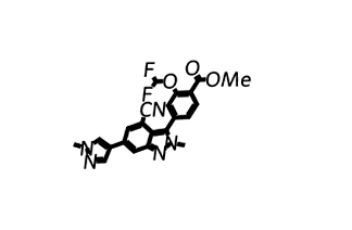 COC(=O)c1ccc(-c2c3c(C#N)cc(-c4cnn(C)c4)cc3nn2C)cc1OC(F)F